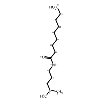 CN(C)CCCNC(=O)CCCCCCCC(=O)O